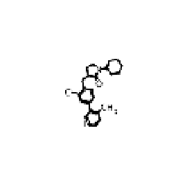 Cc1ccncc1-c1ccc(CC2CCN(C3CCCCC3)C2=O)c(Cl)c1